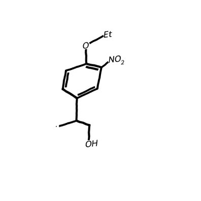 [CH2]C(CO)c1ccc(OCC)c([N+](=O)[O-])c1